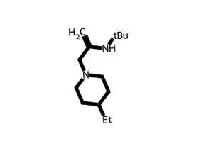 C=C(CN1CCC(CC)CC1)NC(C)(C)C